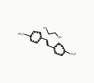 O=C(O)c1ccc(/C=C/c2ccc(C(=O)O)cc2)cc1.OCCO